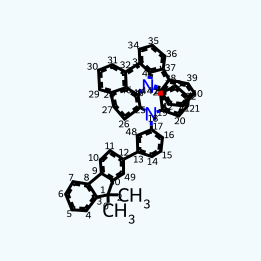 CC1(C)c2ccccc2-c2ccc(-c3cccc(N(c4ccccc4)c4ccc5cccc6c7cccc8c9ccccc9n(c4c56)c78)c3)cc21